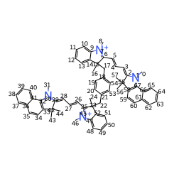 CN1/C(=C/C=C/C2=[N+](C)c3ccccc3C2(C)Cc2ccc(CC3(C)C(/C=C/C=C4/N(C)c5c(ccc6ccccc56)C4(C)C)=[N+](C)c4ccccc43)cc2)C(C)(C)c2ccc3ccccc3c21